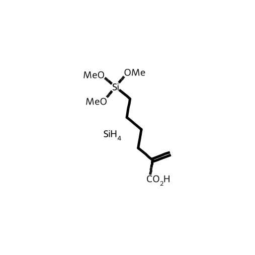 C=C(CCCC[Si](OC)(OC)OC)C(=O)O.[SiH4]